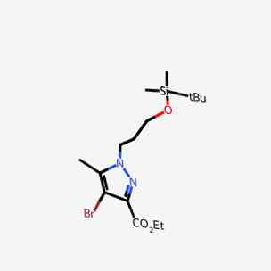 CCOC(=O)c1nn(CCCO[Si](C)(C)C(C)(C)C)c(C)c1Br